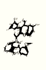 COc1ccccc1-c1nn(C(C)C2=C(c3cccc(F)c3)C(C=O)c3cc(F)ccc3O2)c2ncnc(N)c12